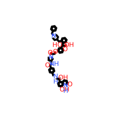 O=C(N[C@H]1CCN(C(=O)COc2cccc([C@@](O)(C(=O)O)c3ccccc3CC3CCN(Cc4ccccc4)CC3)c2)C1)c1ccc(CNC[C@H](O)c2ccc(O)c3[nH]c(=O)ccc23)cc1